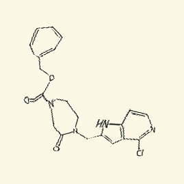 O=C1CN(C(=O)OCc2ccccc2)CCN1Cc1cc2c(Cl)nccc2[nH]1